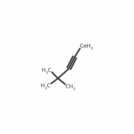 CC(C)(C)C#[C][GeH3]